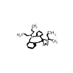 CCCC(CCC)N1Cc2ccccc2-c2nnn(C(C)CC)c2-c2ccccc21